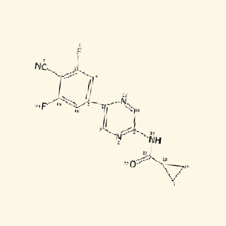 N#Cc1c(F)cc(-c2cnc(NC(=O)C3CC3)cn2)cc1F